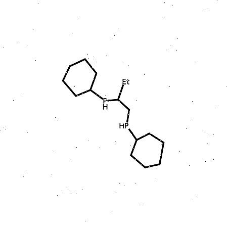 CCC(CPC1CCCCC1)PC1CCCCC1